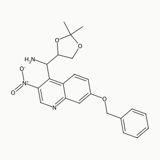 CC1(C)OCC(C(N)c2c([N+](=O)[O-])cnc3cc(OCc4ccccc4)ccc23)O1